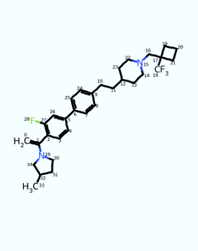 C=C(c1ccc(-c2ccc(CCC3CCN(CC4(C(F)(F)F)CCC4)CC3)cc2)cc1F)N1CCC(C)C1